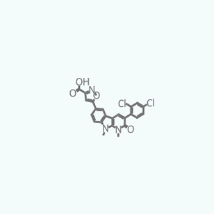 Cn1c(=O)c(-c2ccc(Cl)cc2Cl)cc2c3cc(-c4cc(C(=O)O)no4)ccc3n(C)c21